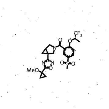 COC1(c2nc(C34CC3CN(C(=O)c3cc(S(C)(=O)=O)ccc3O[C@H](C)C(F)(F)F)C4)no2)CC1